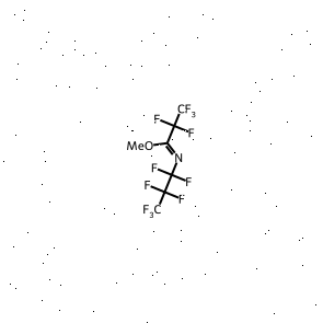 CO/C(=N\C(F)(F)C(F)(F)C(F)(F)F)C(F)(F)C(F)(F)F